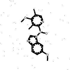 COc1ccc2ncn([S+]([O-])c3ncc(C)c(OC)c3C)c2c1